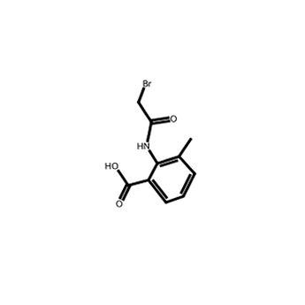 Cc1cccc(C(=O)O)c1NC(=O)CBr